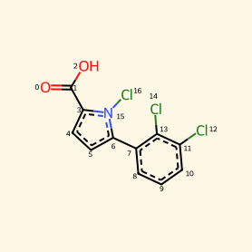 O=C(O)c1ccc(-c2cccc(Cl)c2Cl)n1Cl